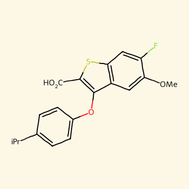 COc1cc2c(Oc3ccc(C(C)C)cc3)c(C(=O)O)sc2cc1F